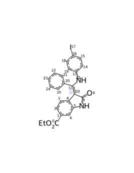 CCOC(=O)c1ccc2c(c1)NC(=O)/C2=C(\Nc1ccc(I)cc1)c1ccccc1